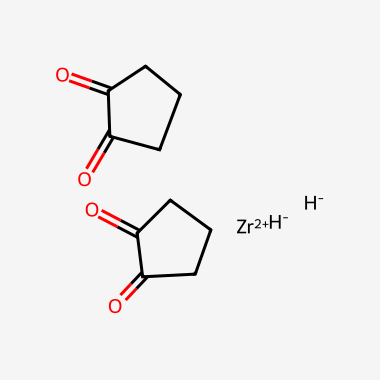 O=C1CCCC1=O.O=C1CCCC1=O.[H-].[H-].[Zr+2]